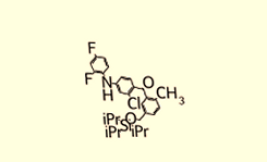 Cc1ccc(CO[Si](C(C)C)(C(C)C)C(C)C)cc1C(=O)c1ccc(Nc2ccc(F)cc2F)cc1Cl